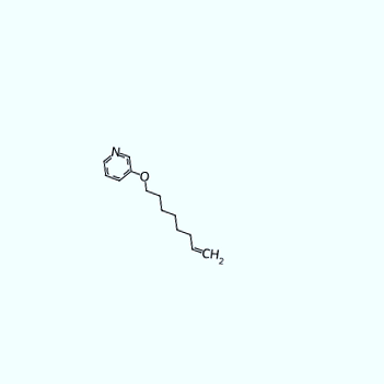 C=CCCCCCCOc1cccnc1